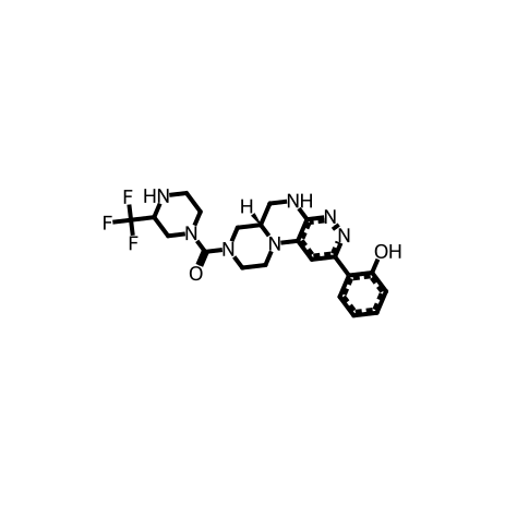 O=C(N1CCNC(C(F)(F)F)C1)N1CCN2c3cc(-c4ccccc4O)nnc3NC[C@H]2C1